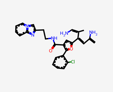 C=C(N)/C=C(\C(C)=C/N)c1cc(C(=O)NCCc2cn3ccccc3n2)c(-c2ccccc2Cl)o1